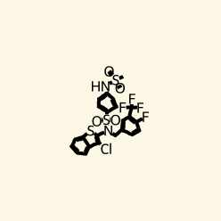 CS(=O)(=O)Nc1ccc(S(=O)(=O)N(Cc2ccc(F)c(C(F)(F)F)c2)c2sc3ccccc3c2Cl)cc1